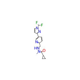 CN(NCc1ccc(-c2ccn(C(F)F)n2)cn1)C(=O)C1CC1